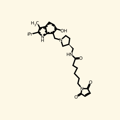 Cc1c(C(C)C)[nH]c2c(CN3CC[C@@H](CNC(=O)CCCCCN4C(=O)C=CC4=O)C3)c(O)ccc12